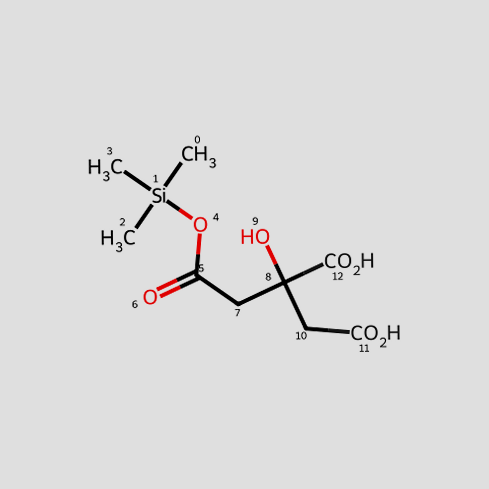 C[Si](C)(C)OC(=O)CC(O)(CC(=O)O)C(=O)O